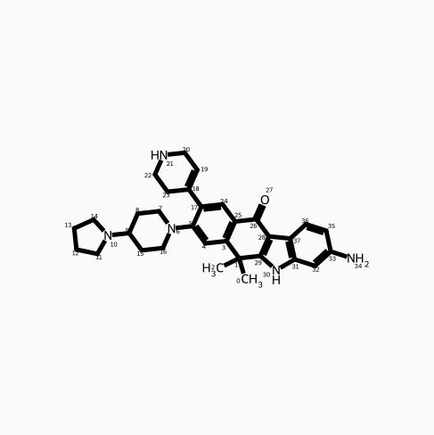 CC1(C)c2cc(N3CCC(N4CCCC4)CC3)c(C3=CCNCC3)cc2C(=O)c2c1[nH]c1cc(N)ccc21